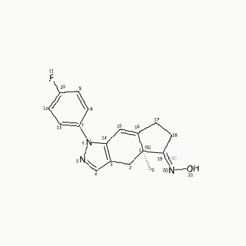 C[C@]12Cc3cnn(-c4ccc(F)cc4)c3C=C1CC/C2=N\O